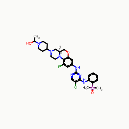 CC(O)N1CCC(N2CCN3c4c(F)cc(Nc5ncc(Cl)c(Nc6ccccc6P(C)(C)=O)n5)cc4OC[C@@H]3C2)CC1